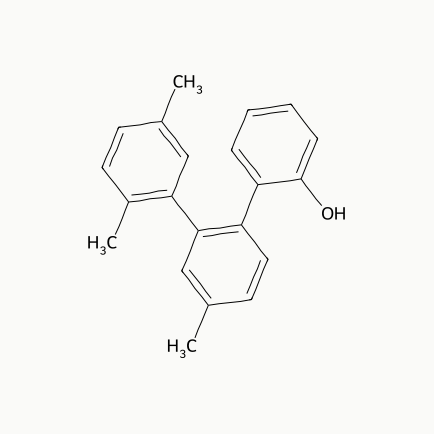 Cc1ccc(C)c(-c2cc(C)ccc2-c2ccccc2O)c1